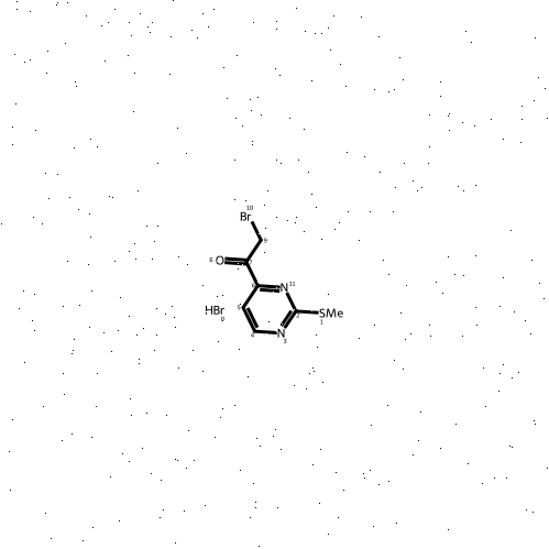 Br.CSc1nccc(C(=O)CBr)n1